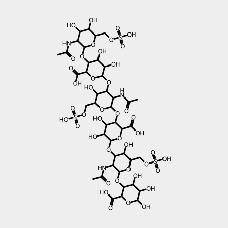 CC(=O)NC1C(OC2C(C(=O)O)OC(OC3C(O)C(COS(=O)(=O)O)OC(OC4C(C(=O)O)OC(OC5C(O)C(COS(=O)(=O)O)OC(OC6C(C(=O)O)OC(O)C(O)C6O)C5NC(C)=O)C(O)C4O)C3NC(C)=O)C(O)C2O)OC(COS(=O)(=O)O)C(O)C1O